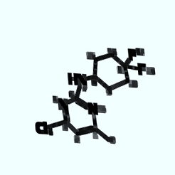 Cc1cc(Cl)nc(NC2CCC(F)(F)CC2)n1